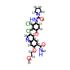 CNC(=O)c1cc2c(Oc3ccc(NC(=O)N4CCCC4)c(Cl)c3Cl)ccnc2cc1OCCOC